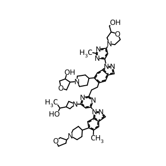 Cc1nc(N2CCOC(CO)C2)cc(-n2ncc3cc(CCc4nc(N5CC(C(C)O)C5)cc(-n5ncc6cc(C)c(C7CCN(C8CCOC8)CC7)cc65)n4)c(C4CCN(C5COCC5O)CC4)cc32)n1